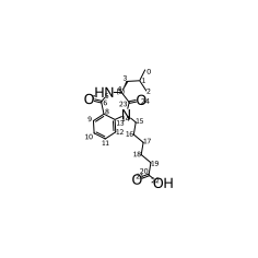 CC(C)C[C@@H]1NC(=O)c2ccccc2N(CCCCCC(=O)O)C1=O